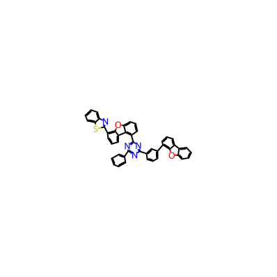 c1ccc(-c2nc(-c3cccc(-c4cccc5c4oc4ccccc45)c3)nc(-c3cccc4oc5c(-c6nc7ccccc7s6)cccc5c34)n2)cc1